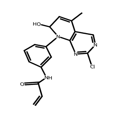 C=CC(=O)Nc1cccc(N2c3nc(Cl)ncc3C(C)=CC2O)c1